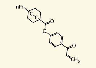 C=CC(=O)c1ccc(OC(=O)C23CCC(CCC)(CC2)CC3)cc1